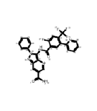 NC(=O)c1cnc2c(NC(=O)c3cc(-c4ccccn4)c(C(F)(F)F)cc3F)n(-c3ccccc3)nc2c1